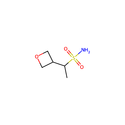 CC(C1COC1)S(N)(=O)=O